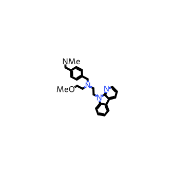 CNCc1ccc(CN(CCOC)CCn2c3ccccc3c3cccnc32)cc1